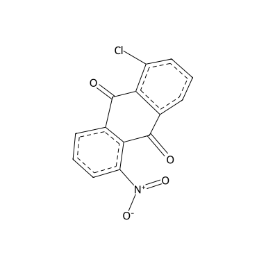 O=C1c2cccc([N+](=O)[O-])c2C(=O)c2cccc(Cl)c21